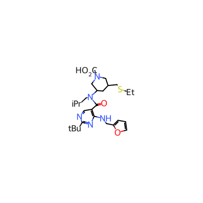 CCSCC1CC(N(CC(C)C)C(=O)c2cnc(C(C)(C)C)nc2NCc2ccco2)CN(C(=O)O)C1